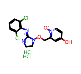 Cl.Cl.[O-][n+]1ccc(O)cc1CON1CCN/C1=N\c1c(Cl)cccc1Cl